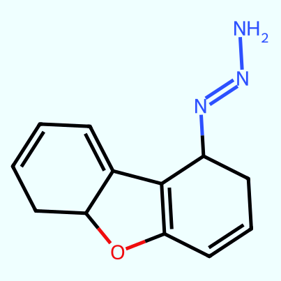 NN=NC1CC=CC2=C1C1=CC=CCC1O2